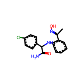 CC(=NO)c1ccccc1NC(C(N)=O)c1ccc(Cl)cc1